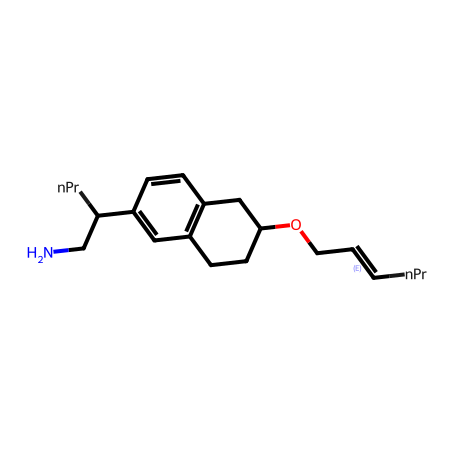 CCC/C=C/COC1CCc2cc(C(CN)CCC)ccc2C1